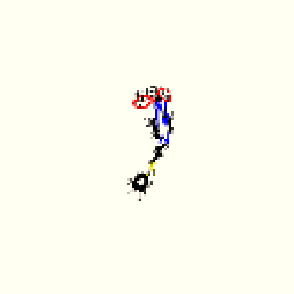 CC(C)(C)OC(=O)N1CCN(CCCCSc2ccccc2)CC1